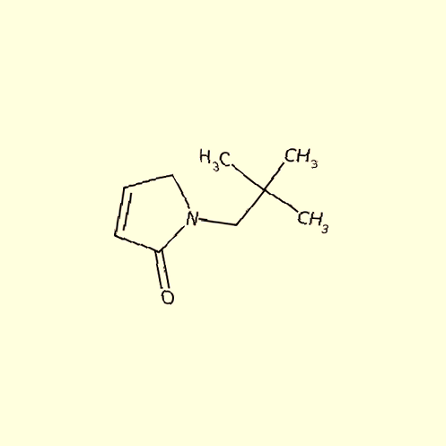 CC(C)(C)CN1CC=CC1=O